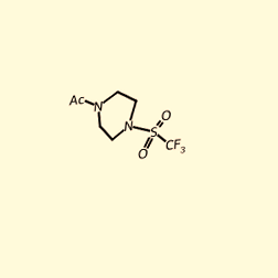 CC(=O)N1CCN(S(=O)(=O)C(F)(F)F)CC1